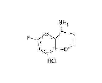 Cl.N[C@@H]1CCOc2ccc(F)cc21